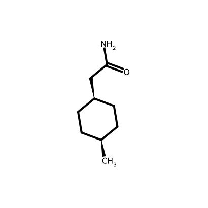 C[C@H]1CC[C@@H](CC(N)=O)CC1